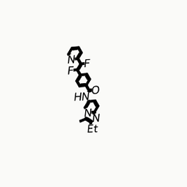 CCc1nc2ccc(NC(=O)c3ccc(C(F)=C(F)c4ccccn4)cc3)cn2c1C